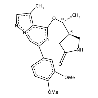 COc1ccc(-c2cn3ncc(C)c3c(O[C@H](C)[C@H]3CNC(=O)C3)n2)cc1OC